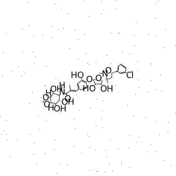 C/C(=C\c1ccc(O[C@@H]2O[C@H](C3(C)C[C@H](c4cccc(Cl)c4)ON3C)[C@@H](O)[C@@H]2O)c(O)c1)C(=O)N[C@@H]1[C@H](O)[C@@H](O)[C@H]2OCO[C@H]2[C@@H]1O